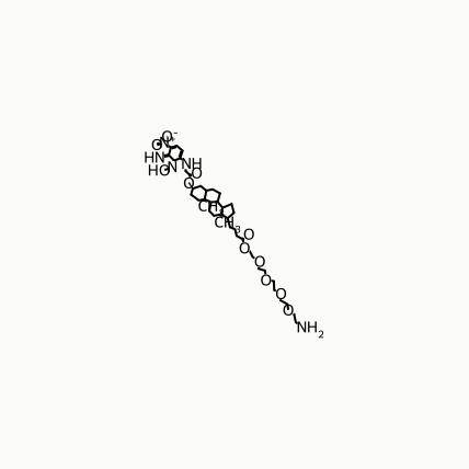 CC12CCC3C(CCC4C[C@H](OC(=O)CNC5=CC=C([N+](=O)[O-])C(=N)/C5=N\O)CCC43C)C1CCC2CCCC(=O)OCCOCCOCCOCCOCCN